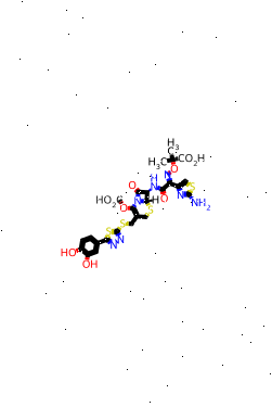 CC(C)(ON=C(C(=O)N[C@@H]1C(=O)N2C(OC(=O)O)=C(CSc3nnc(-c4ccc(O)c(O)c4)s3)CS[C@@H]12)c1csc(N)n1)C(=O)O